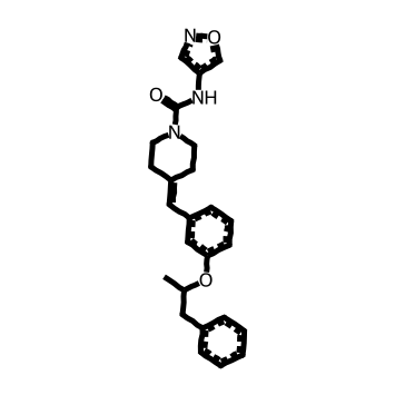 CC(Cc1ccccc1)Oc1cccc(C=C2CCN(C(=O)Nc3cnoc3)CC2)c1